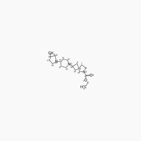 CCOC(=O)N1CCC2(CC(N3CCC(N4CCC(C)C4)CC3)C2)C1